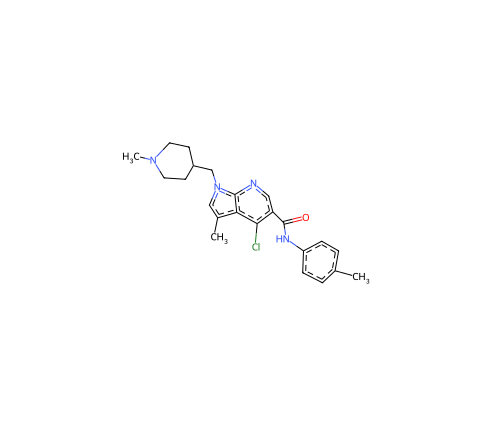 Cc1ccc(NC(=O)c2cnc3c(c(C)cn3CC3CCN(C)CC3)c2Cl)cc1